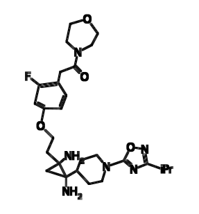 CC(C)c1noc(N2CCC(C3(N)CC3(N)CCOc3ccc(CC(=O)N4CCOCC4)c(F)c3)CC2)n1